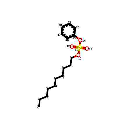 CCCCCCCCCCOS(=O)(=O)Oc1ccccc1